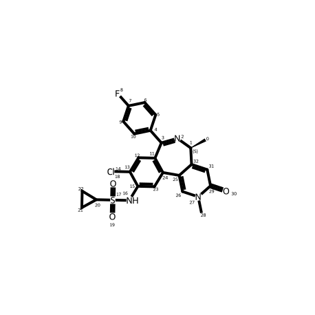 C[C@@H]1N=C(c2ccc(F)cc2)c2cc(Cl)c(NS(=O)(=O)C3CC3)cc2-c2cn(C)c(=O)cc21